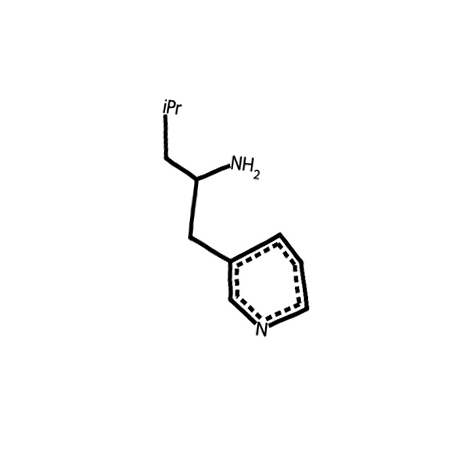 CC(C)CC(N)Cc1cccnc1